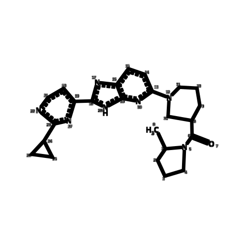 CC1CCCN1C(=O)C1CCCN(c2ccc3nc(-c4ccnc(C5CC5)n4)[nH]c3n2)C1